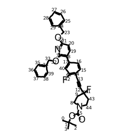 CC(C)(C)OC(=O)N1CCC(F)(C#Cc2ccc(-c3ccc(OCc4ccccc4)nc3OCc3ccccc3)cc2F)CC1